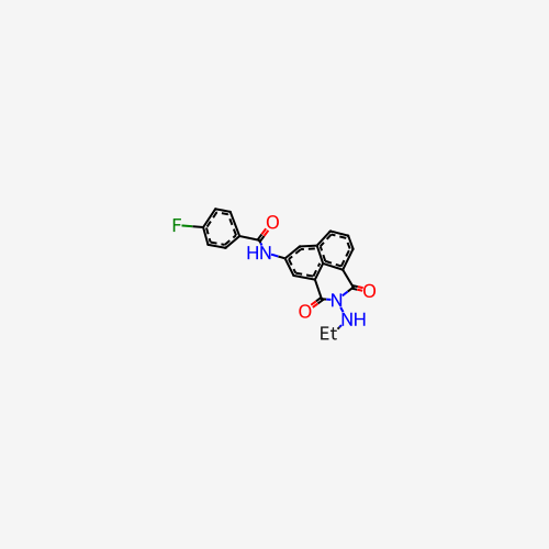 CCNN1C(=O)c2cccc3cc(NC(=O)c4ccc(F)cc4)cc(c23)C1=O